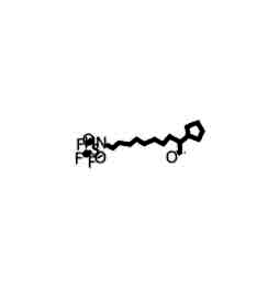 O=[C]C(CCCCCCCCNS(=O)(=O)C(F)(F)F)C1CCCC1